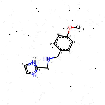 COc1ccc(CNCc2ncc[nH]2)cc1